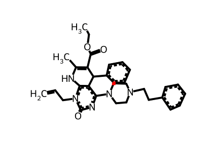 C=CCn1c2c(c(N3CCN(CCc4ccccc4)CC3)nc1=O)C(c1ccccc1)C(C(=O)OCC)=C(C)N2